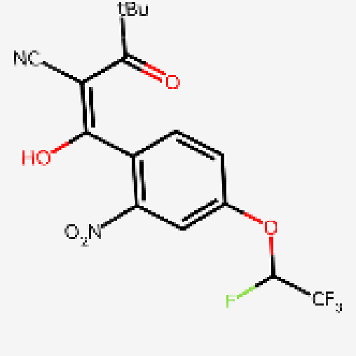 CC(C)(C)C(=O)C(C#N)=C(O)c1ccc(OC(F)C(F)(F)F)cc1[N+](=O)[O-]